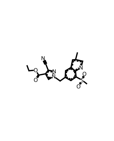 CCOC(=O)c1cn(Cc2cc(S(C)(=O)=O)c3ncc(C)cc3c2)nc1C#N